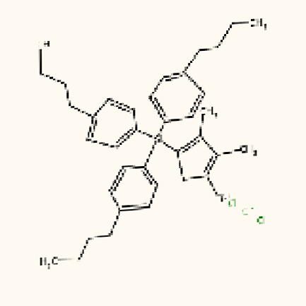 CCCCc1ccc([Si](C2=C(C)C(C)=[C]([Ti+3])C2)(c2ccc(CCCC)cc2)c2ccc(CCCC)cc2)cc1.[Cl-].[Cl-].[Cl-]